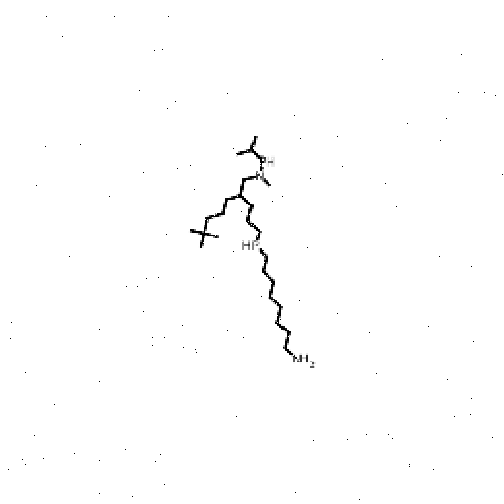 CC(C)PN(C)CC(CCCPCCCCCCCCN)CCCC(C)(C)C